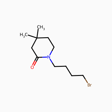 CC1(C)CCN(CCCCBr)C(=O)C1